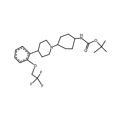 CC(C)(C)OC(=O)NC1CCC(N2CCC(c3ccccc3OCC(F)(F)F)CC2)CC1